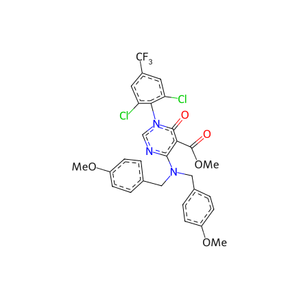 COC(=O)c1c(N(Cc2ccc(OC)cc2)Cc2ccc(OC)cc2)ncn(-c2c(Cl)cc(C(F)(F)F)cc2Cl)c1=O